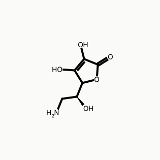 NC[C@H](O)C1OC(=O)C(O)=C1O